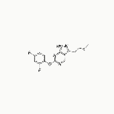 CSCCc1n[nH]c2nc(Oc3ccc(F)cc3F)ncc12